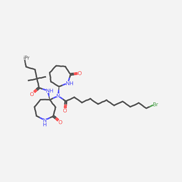 CC(C)CCC(C)(C)C(=O)N[C@]1(N(C(=O)CCCCCCCCCCBr)[C@H]2CCCCC(=O)N2)CCCNC(=O)C1